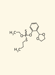 CCCSP(=S)(OCC)Oc1ccccc1C1OCCO1